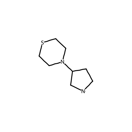 C1CC(N2CCSCC2)C[N]1